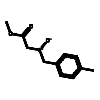 COC(=O)C[S+]([O-])Cc1ccc(C)cc1